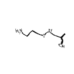 CC(O)NOCCN